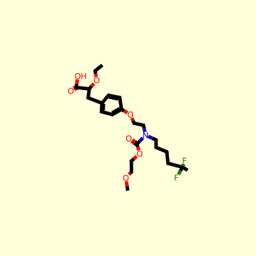 CCOC(Cc1ccc(OCCN(CCCCC(C)(F)F)C(=O)OCCOC)cc1)C(=O)O